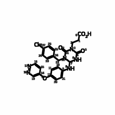 O=C(O)CCN1C(=O)NC(Nc2ccc(Oc3ccnnc3)cc2)N(Cc2ccc(Cl)cc2)C1=O